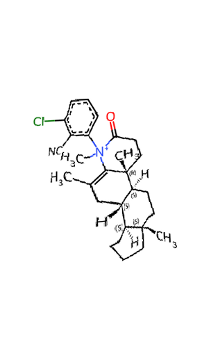 CC1=C2[C@](C)(CCC(=O)[N+]2(C)c2cccc(Cl)c2C#N)[C@H]2CC[C@]3(C)CCC[C@H]3[C@@H]2C1